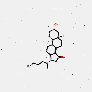 CC(C)CCCC(C)[C@H]1CC(=O)C2=C3CC[C@H]4C[C@@H](O)CC[C@]4(C)C3CC[C@@]21C